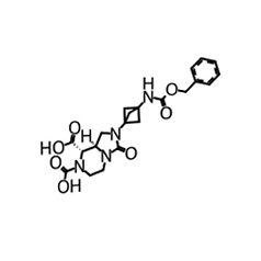 O=C(NC12CC(N3C[C@@H]4[C@@H](C(=O)O)N(C(=O)O)CCN4C3=O)(C1)C2)OCc1ccccc1